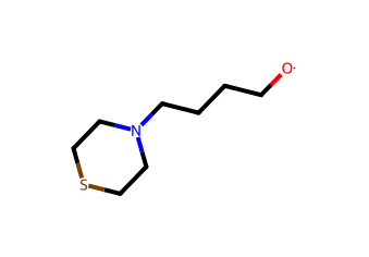 [O]CCCCN1CCSCC1